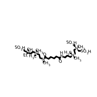 CC[N+](C)(CC[N+](C)(C)CCN(C)C(=O)CCCCC(=O)NCCC[N+](C)(C)CC[N+](C)(CS(=O)(=O)O)CS(=O)(=O)O)CS(=O)(=O)O